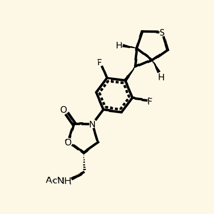 CC(=O)NC[C@H]1CN(c2cc(F)c([C@H]3[C@@H]4CSC[C@@H]43)c(F)c2)C(=O)O1